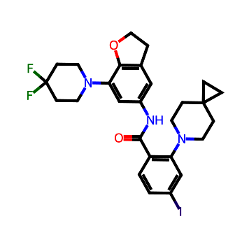 O=C(Nc1cc2c(c(N3CCC(F)(F)CC3)c1)OCC2)c1ccc(I)cc1N1CCC2(CC1)CC2